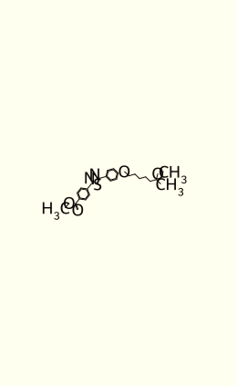 COC(=O)c1ccc(-c2nnc(-c3ccc(OCCCCCC(C)OC)cc3)s2)cc1